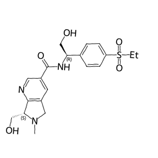 CCS(=O)(=O)c1ccc([C@H](CO)NC(=O)c2cnc3c(c2)CN(C)[C@@H]3CO)cc1